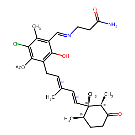 CC(=O)Oc1c(Cl)c(C)c(C=NCCC(N)=O)c(O)c1C/C=C(C)/C=C/[C@@]1(C)[C@H](C)CCC(=O)[C@@H]1C